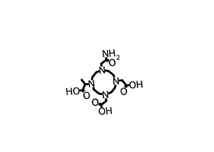 CC(C(=O)O)N1CCN(CC(N)=O)CCN(CC(=O)O)CCN(CC(=O)O)CC1